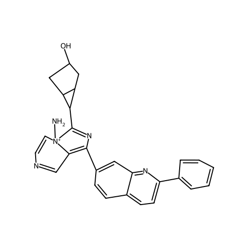 N[N+]12C=CN=CC1=C(c1ccc3ccc(-c4ccccc4)nc3c1)N=C2C1C2CC(O)CC21